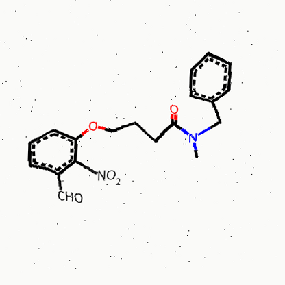 CN(Cc1ccccc1)C(=O)CCCOc1cccc(C=O)c1[N+](=O)[O-]